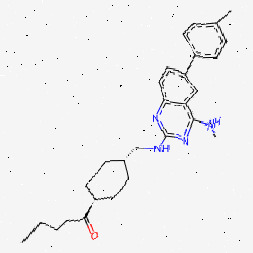 CCCCC(=O)[C@H]1CC[C@H](CNc2nc(NC)c3cc(-c4ccc(C)cc4)ccc3n2)CC1